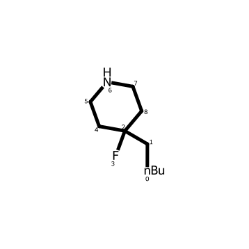 CCCCCC1(F)CCNCC1